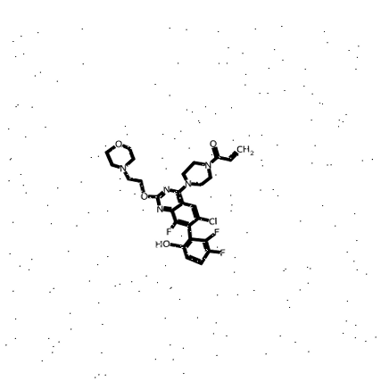 C=CC(=O)N1CCN(c2nc(OCCN3CCOCC3)nc3c(F)c(-c4c(O)ccc(F)c4F)c(Cl)cc23)CC1